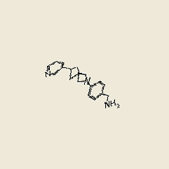 NCc1ccc(N2CC3(CC(c4cccnc4)C3)C2)cc1